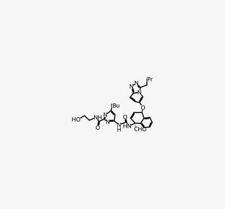 CC(C)Cc1nnc2ccc(O[C@@H]3C=C[C@](C=O)(NC(=O)Nc4cc(C(C)(C)C)nc(C(=O)NCCO)n4)c4ccccc43)cn12